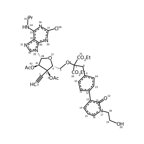 C#C[C@@]1(OC(C)=O)[C@@H](COC(Cc2ccc(-c3cccn(CCO)c3=O)cc2)(C(=O)OCC)C(=O)OCC)O[C@@H](n2cnc3c(NC(C)C)nc(Cl)nc32)[C@@H]1OC(C)=O